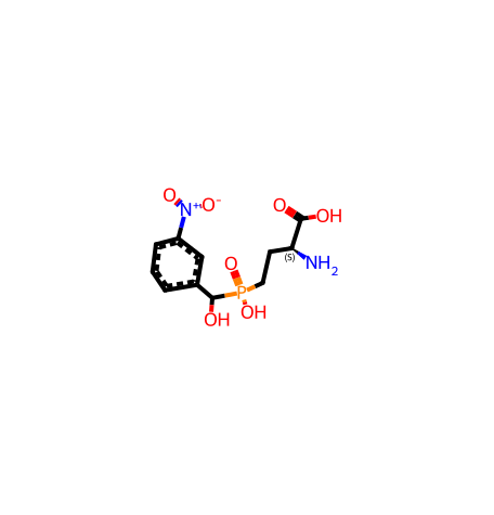 N[C@@H](CCP(=O)(O)C(O)c1cccc([N+](=O)[O-])c1)C(=O)O